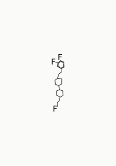 FCCCC1CCC(C2CCC(CCc3ccc(F)c(F)c3)CC2)CC1